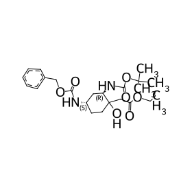 CCOC(=O)CC1(O)CC[C@H](NC(=O)OCc2ccccc2)C[C@H]1NC(=O)OC(C)(C)C